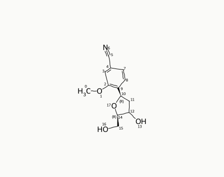 COc1cc(C#N)ccc1[C@H]1CC(O)[C@@H](CO)O1